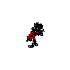 Cn1cc2c(CCCC(=O)OC(C)(C)C)c(Nc3nc(=O)n(-c4cncc5cccc(CNC(=O)OC(C)(C)C)c45)c(=O)n3Cc3cc(F)c(F)c(F)c3)c(Cl)cc2n1